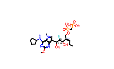 CC/C=C(/COP(=O)(O)CP(=O)(O)O)[C@@H](O)[C@H](F)[C@@H](O)c1cn(C)c2c(NC3CCCC3)nc(OC)nc12